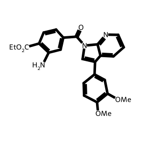 CCOC(=O)c1ccc(C(=O)n2cc(-c3ccc(OC)c(OC)c3)c3cccnc32)cc1N